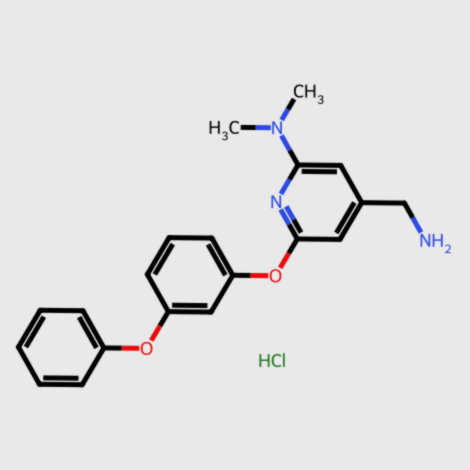 CN(C)c1cc(CN)cc(Oc2cccc(Oc3ccccc3)c2)n1.Cl